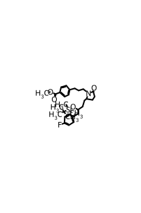 COC(=O)c1ccc(CCCN2C(=O)CCC2CCC(Cc2ccc(F)cc2)O[Si](C)(C)C(C)(C)C)cc1